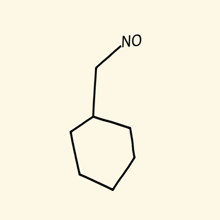 O=NCC1CCCCC1